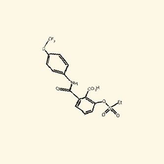 CCS(=O)(=O)Oc1cccc(C(=O)Nc2ccc(OC(F)(F)F)cc2)c1C(=O)O